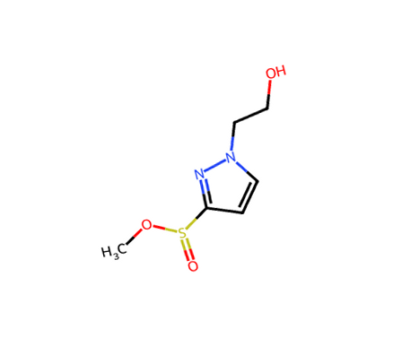 COS(=O)c1ccn(CCO)n1